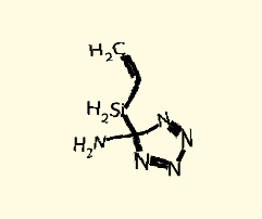 C=C[SiH2]C1(N)N=NN=N1